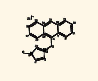 Cn1cc[n+](Cc2c3ccccc3cc3ccccc23)c1.[I-]